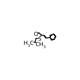 CC(C)CSC(C=O)/C=C/c1ccccc1